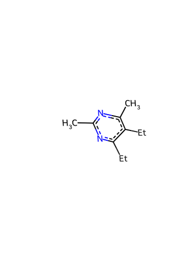 CCc1nc(C)nc(C)c1CC